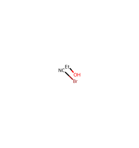 CCO.N#CBr